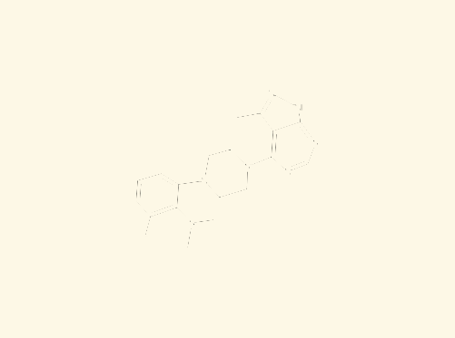 CN(C)c1c(Cl)cccc1N1CCN(c2ncnc3[nH]nc(Br)c23)CC1